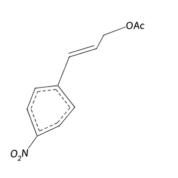 CC(=O)OC/C=C/c1ccc([N+](=O)[O-])cc1